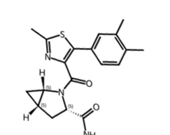 Cc1nc(C(=O)N2[C@H](C(N)=O)C[C@@H]3C[C@@H]32)c(-c2ccc(C)c(C)c2)s1